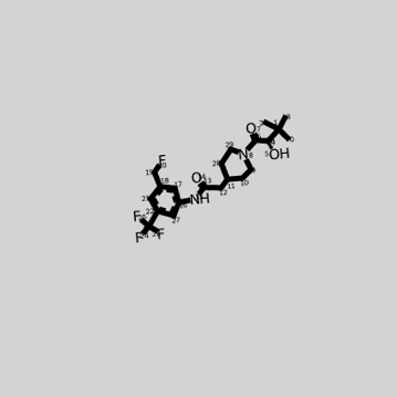 CC(C)(C)[C@@H](O)C(=O)N1CCC(CC(=O)Nc2cc(CF)cc(C(F)(F)F)c2)CC1